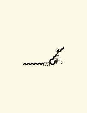 CCCCCCCCCCCCOCOC1CCC(CCCSC(=O)CCCC)[SiH2]N(C)CC1